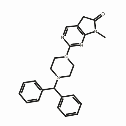 CN1C(=O)Cc2cnc(N3CCN(C(c4ccccc4)c4ccccc4)CC3)nc21